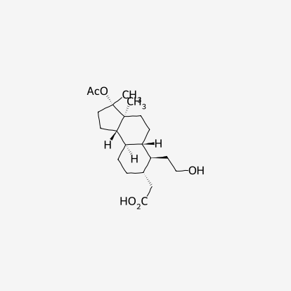 CC(=O)O[C@@]1(C)CC[C@H]2[C@@H]3CC[C@@H](CC(=O)O)[C@H](CCO)[C@H]3CC[C@@]21C